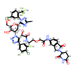 Cc1nc([C@@H]2O[C@H](CO)[C@H](O)[C@H](n3cc(-c4cc(F)c(Cl)c(F)c4)nn3)[C@H]2OCC(=O)NCCOCC(=O)Nc2ccc3c(c2)CN(C2CCC(=O)NC2=O)C3=O)n(-c2cc(Cl)ccc2C(F)(F)F)n1